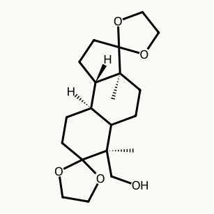 C[C@]12CCC3[C@@H](CCC4(OCCO4)[C@]3(C)CO)[C@@H]1CCC21OCCO1